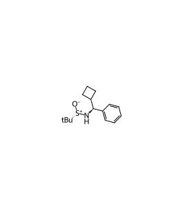 CC(C)(C)[S@+]([O-])N[C@H](c1ccccc1)C1CCC1